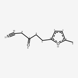 Cc1ccc(CCC(=O)CC#N)o1